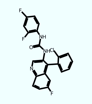 O=C(Nc1ccc(F)cc1F)Nc1cnc2ccc(F)cc2c1-c1ccccc1Cl